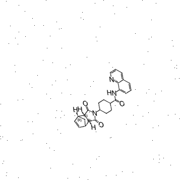 O=C(Nc1cccc2cccnc12)C1CCC(N2C(=O)[C@@H]3[C@H](C2=O)C2C=C[C@H]3C2)CC1